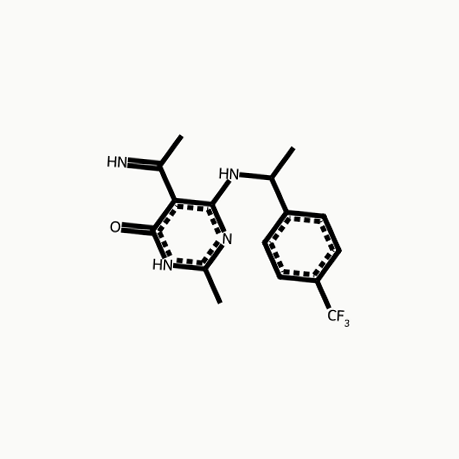 CC(=N)c1c(NC(C)c2ccc(C(F)(F)F)cc2)nc(C)[nH]c1=O